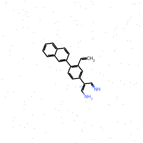 C=Cc1cc(/C(C=N)=C/N)ccc1-c1ccc2ccccc2c1